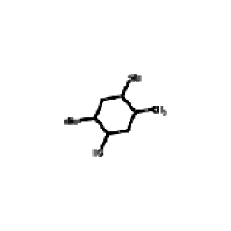 CCCCC1CC(C(C)(C)C)C(C)CC1O